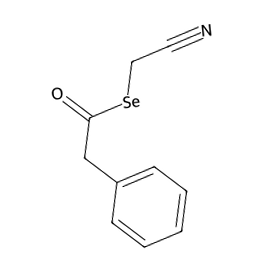 N#CC[Se]C(=O)Cc1ccccc1